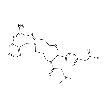 COCCc1nc2c(N)nc3ccccc3c2n1CCCN(Cc1ccc(CC(=O)O)cc1)C(=O)CN(C)C